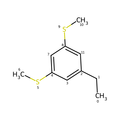 CCc1cc(SC)cc(SC)c1